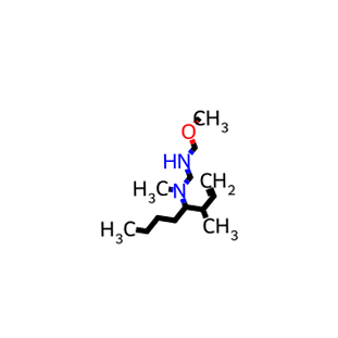 C=CC(C)C(CCCC)N(C)CNCOC